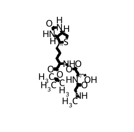 CNCC(=O)N[C@@H](CO)C(=O)ONC(CCC[C@@H]1SC[C@@H]2NC(=O)N[C@@H]21)C(=O)OC(C)(C)C